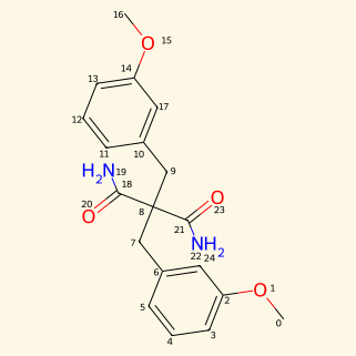 COc1cccc(CC(Cc2cccc(OC)c2)(C(N)=O)C(N)=O)c1